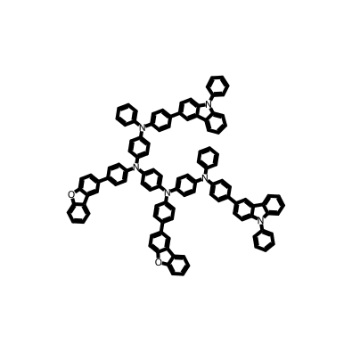 c1ccc(N(c2ccc(-c3ccc4c(c3)c3ccccc3n4-c3ccccc3)cc2)c2ccc(N(c3ccc(-c4ccc5oc6ccccc6c5c4)cc3)c3ccc(N(c4ccc(-c5ccc6oc7ccccc7c6c5)cc4)c4ccc(N(c5ccccc5)c5ccc(-c6ccc7c(c6)c6ccccc6n7-c6ccccc6)cc5)cc4)cc3)cc2)cc1